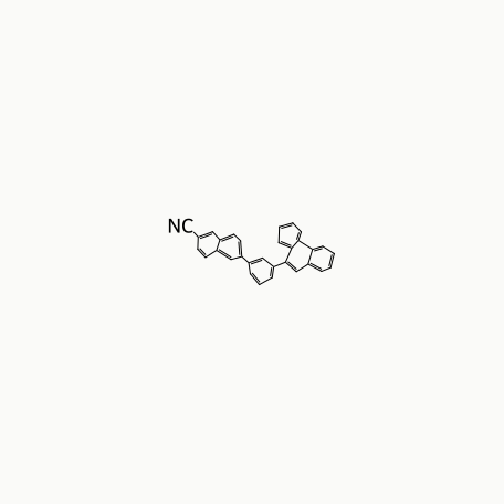 N#Cc1ccc2cc(-c3cccc(-c4cc5ccccc5c5ccccc45)c3)ccc2c1